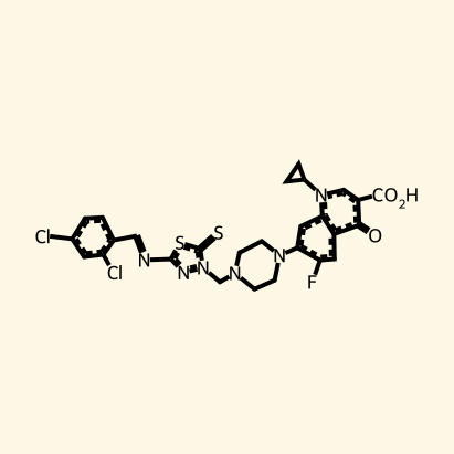 O=C(O)c1cn(C2CC2)c2cc(N3CCN(Cn4nc(N=Cc5ccc(Cl)cc5Cl)sc4=S)CC3)c(F)cc2c1=O